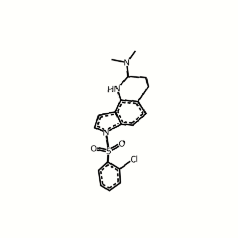 CN(C)C1CCc2ccc3c(ccn3S(=O)(=O)c3ccccc3Cl)c2N1